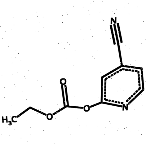 CCOC(=O)Oc1cc(C#N)ccn1